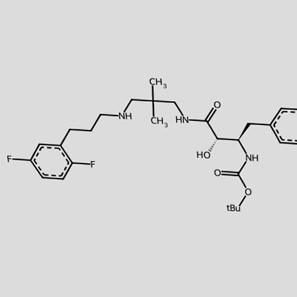 CC(C)(CNCCCc1cc(F)ccc1F)CNC(=O)[C@@H](O)[C@@H](Cc1ccccc1)NC(=O)OC(C)(C)C